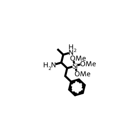 CO[Si](OC)(OC)C(Cc1ccccc1)C(N)C(C)N